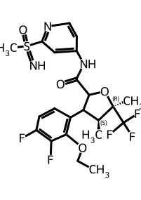 CCOc1c(C2C(C(=O)Nc3ccnc(S(C)(=N)=O)c3)O[C@@](C)(C(F)(F)F)[C@H]2C)ccc(F)c1F